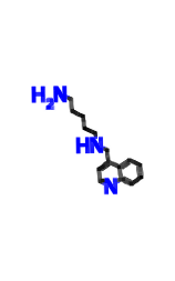 NCCCCCNCc1ccnc2ccccc12